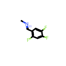 C/N=C/c1cc(F)c(F)cc1F